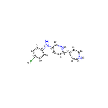 Fc1ccc(Nc2ccc(-c3ccncc3)nc2)cc1